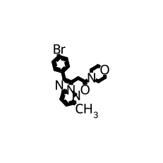 Cc1ccc2nc(-c3ccc(Br)cc3)c(CC(=O)N3CCOCC3)n2n1